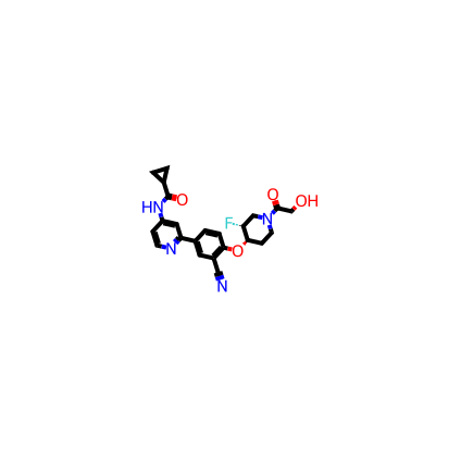 N#Cc1cc(-c2cc(NC(=O)C3CC3)ccn2)ccc1O[C@@H]1CCN(C(=O)CO)C[C@H]1F